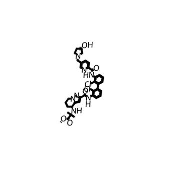 COC(=O)C(C)(C)NC1CCCn2nc(C(=O)Nc3cccc(-c4cccc(NC(=O)c5ccc(CN6CC[C@@H](O)C6)cn5)c4Cl)c3Cl)cc21